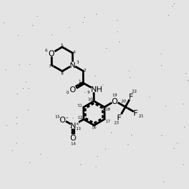 O=C(CN1CCOCC1)Nc1cc([N+](=O)[O-])ccc1OC(F)(F)F